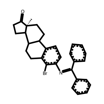 C[C@]12CCC3c4ccc(N=C(c5ccccc5)c5ccccc5)c(Br)c4CCC3C1CCC2=O